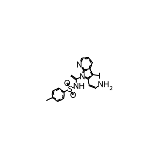 C=C(NS(=O)(=O)c1ccc(C)cc1)n1c(/C=C\N)c(I)c2cccnc21